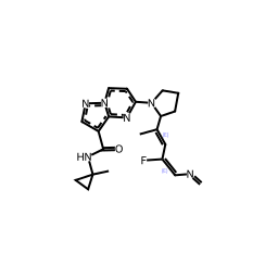 C=N/C=C(F)\C=C(/C)C1CCCN1c1ccn2ncc(C(=O)NC3(C)CC3)c2n1